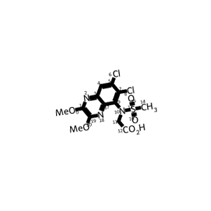 COc1nc2cc(Cl)c(Cl)c(N(CC(=O)O)S(C)(=O)=O)c2nc1OC